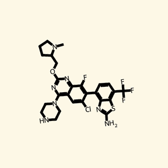 CN1CCCC1COc1nc(N2CCNCC2)c2cc(Cl)c(-c3ccc(C(F)(F)F)c4sc(N)nc34)c(F)c2n1